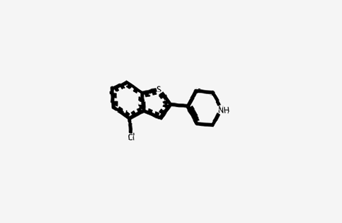 Clc1cccc2sc(C3=CCNCC3)cc12